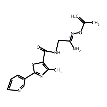 C=C(C)O/N=C(\N)CNC(=O)c1sc(-c2cccnc2)nc1C